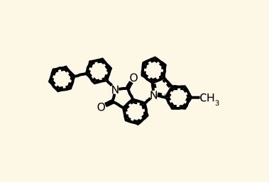 Cc1ccc2c(c1)c1ccccc1n2-c1cccc2c1C(=O)N(c1cccc(-c3ccccc3)c1)C2=O